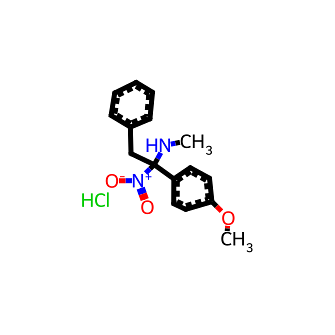 CNC(Cc1ccccc1)(c1ccc(OC)cc1)[N+](=O)[O-].Cl